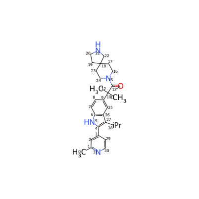 Cc1cc(-c2[nH]c3ccc(C(C)(C)C(=O)N4CCC5(CCNC5)CC4)cc3c2C(C)C)ccn1